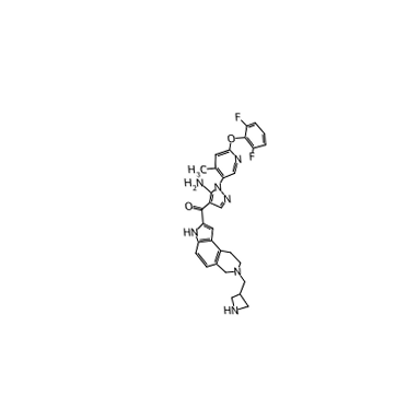 Cc1cc(Oc2c(F)cccc2F)ncc1-n1ncc(C(=O)c2cc3c4c(ccc3[nH]2)CN(CC2CNC2)CC4)c1N